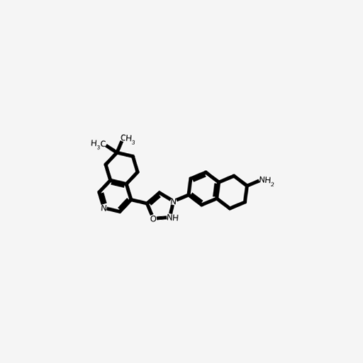 CC1(C)CCc2c(cncc2C2=CN(c3ccc4c(c3)CCC(N)C4)NO2)C1